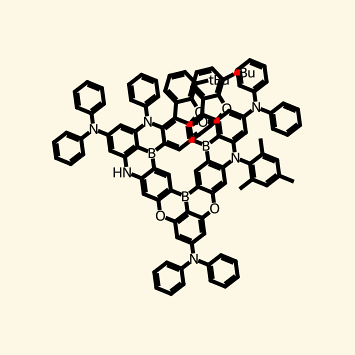 Cc1cc(C)c(N2c3cc4c(cc3B3c5ccc6oc7c(C(C)(C)C)cccc7c6c5Oc5cc(N(c6ccccc6)c6ccccc6)cc2c53)B2c3cc5c(cc3Oc3cc(N(c6ccccc6)c6ccccc6)cc(c32)O4)Nc2cc(N(c3ccccc3)c3ccccc3)cc3c2B5c2ccc4oc5c(C(C)(C)C)cccc5c4c2N3c2ccccc2)c(C)c1